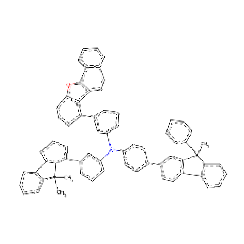 CC1(C)c2ccccc2-c2cccc(-c3cccc(N(c4ccc(-c5ccc6c(c5)C(C)(c5ccccc5)c5ccccc5-6)cc4)c4cccc(-c5cccc6oc7c8ccccc8ccc7c56)c4)c3)c21